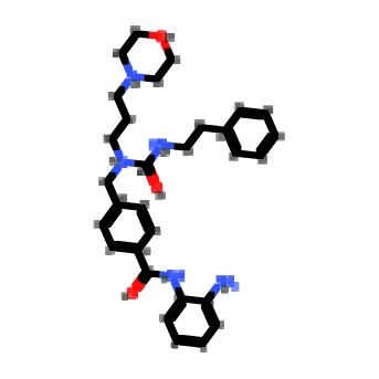 Nc1ccccc1NC(=O)c1ccc(CN(CCCN2CCOCC2)C(=O)NCCc2ccccc2)cc1